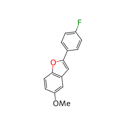 COc1ccc2oc(-c3ccc(F)cc3)cc2c1